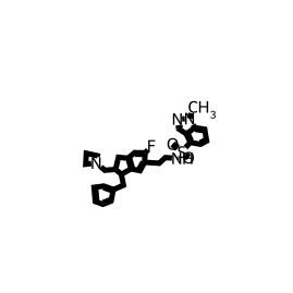 Cn1ncc2c(S(=O)(=O)NCCc3cc4c(cc3F)CC(CN3CCC3)C4Cc3ccccc3)cccc21